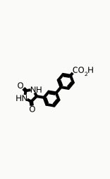 O=C1NC(=O)C(c2cccc(-c3ccc(C(=O)O)cc3)c2)N1